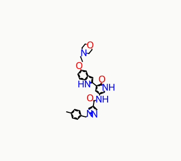 Cc1ccc(Cn2cc(C(=O)Nc3c[nH]c(=O)c(-c4cc5cc(OCCN6CCOCC6)ccc5[nH]4)c3)cn2)cc1